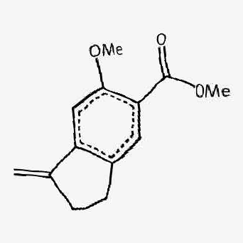 C=C1CCc2cc(C(=O)OC)c(OC)cc21